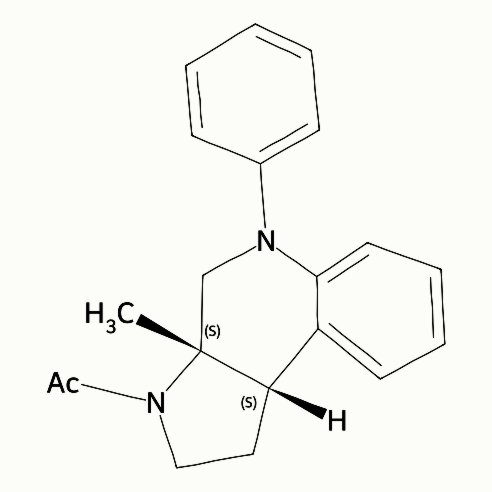 CC(=O)N1CC[C@H]2c3ccccc3N(c3ccccc3)C[C@]21C